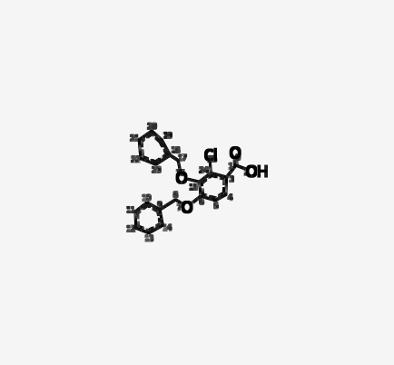 O=C(O)c1ccc(OCc2ccccc2)c(OCc2ccccc2)c1Cl